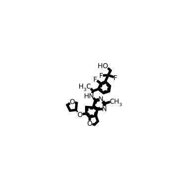 Cc1nc(NC(C)c2cccc(C(F)(F)CO)c2F)c2cc(O[C@H]3CCOC3)c3c(c2n1)CCO3